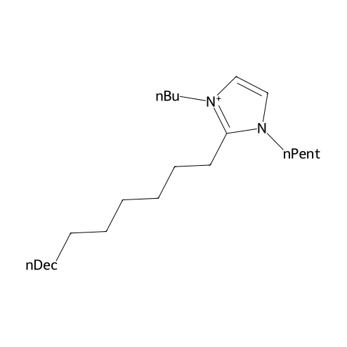 CCCCCCCCCCCCCCCCc1n(CCCCC)cc[n+]1CCCC